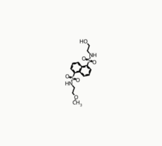 COCCNS(=O)(=O)c1cccc2c(S(=O)(=O)NCCO)cccc12